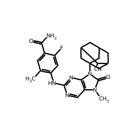 Cc1cc(C(N)=O)c(F)cc1Nc1ncc2c(n1)n(C13CC4CC(C1)C(C#N)C(C4)C3)c(=O)n2C